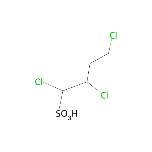 O=S(=O)(O)C(Cl)C(Cl)CCCl